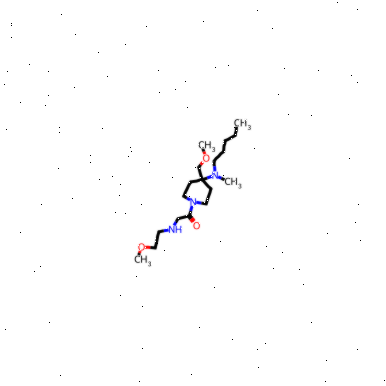 CCCCCN(C)C1(COC)CCN(C(=O)CNCCOC)CC1